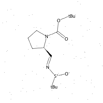 CC(C)(C)OC(=O)N1CCC[C@@H]1/C=N/[S+]([O-])C(C)(C)C